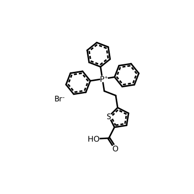 O=C(O)c1ccc(CC[P+](c2ccccc2)(c2ccccc2)c2ccccc2)s1.[Br-]